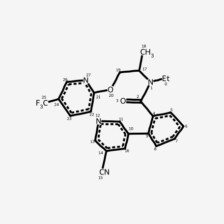 CCN(C(=O)c1ccccc1-c1cncc(C#N)c1)C(C)COc1ccc(C(F)(F)F)cn1